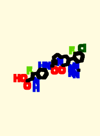 O=C(O)c1[nH]c2ccc(NC(=O)[C@@H]3CCC4CC(c5c(-n6cnnn6)ccc(Cl)c5F)=CC(=O)N43)cc2c1F